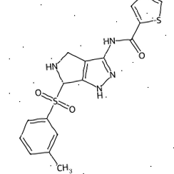 Cc1cccc(S(=O)(=O)C2NCc3c(NC(=O)c4cccs4)n[nH]c32)c1